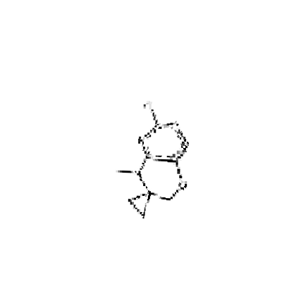 CN1c2nc(Cl)ncc2OCC12CC2